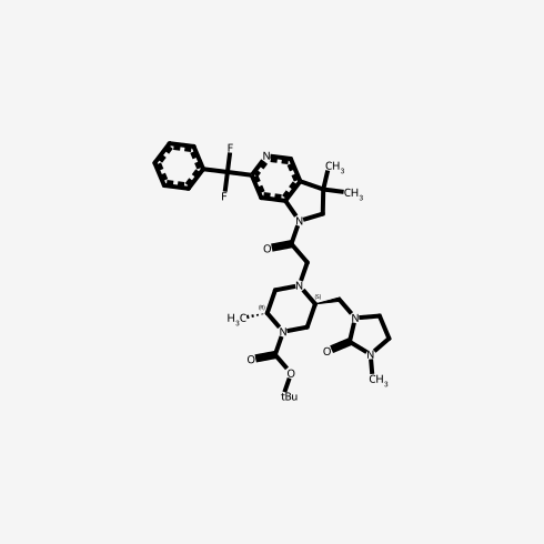 C[C@@H]1CN(CC(=O)N2CC(C)(C)c3cnc(C(F)(F)c4ccccc4)cc32)[C@@H](CN2CCN(C)C2=O)CN1C(=O)OC(C)(C)C